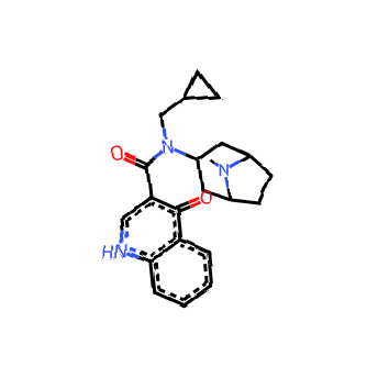 CN1C2CCC1CC(N(CC1CC1)C(=O)c1c[nH]c3ccccc3c1=O)C2